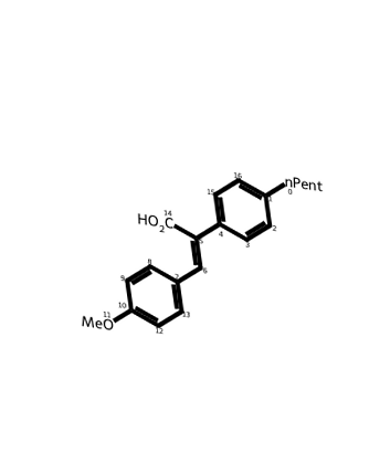 CCCCCc1ccc(C(=Cc2ccc(OC)cc2)C(=O)O)cc1